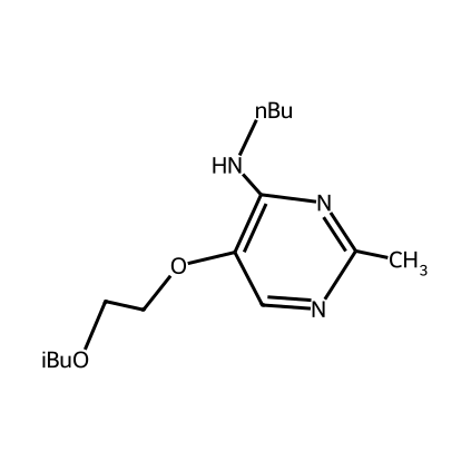 CCCCNc1nc(C)ncc1OCCOCC(C)C